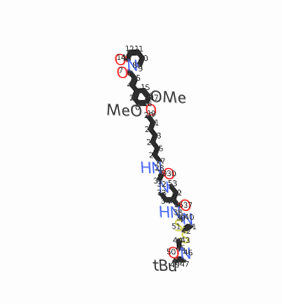 COc1cc(C=CC(=O)N2CCC=CC2=O)cc(OC)c1OCCCCCCCCNC(=O)CN1CCC(C(=O)Nc2ncc(SCc3ncc(C(C)(C)C)o3)s2)CC1